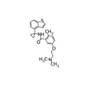 Cc1ccc(OCCN(C)C)cc1C(=O)NC1(c2cccc3sccc23)CC1